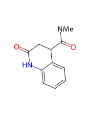 CNC(=O)C1CC(=O)Nc2ccccc21